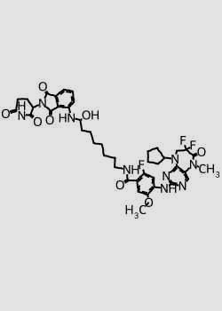 COc1cc(C(=O)NCCCCCCCC(O)Nc2cccc3c2C(=O)N(C2CCC(=O)NC2=O)C3=O)c(F)cc1Nc1ncc2c(n1)N(C1CCCC1)CC(F)(F)C(=O)N2C